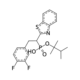 CC(C)C(C)(C)OP(=O)(O)C(Cc1ccc(F)c(F)c1)c1nc2ccccc2s1